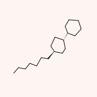 CCCCCCC[C@H]1CC[C@H](C2CC[CH]CC2)CC1